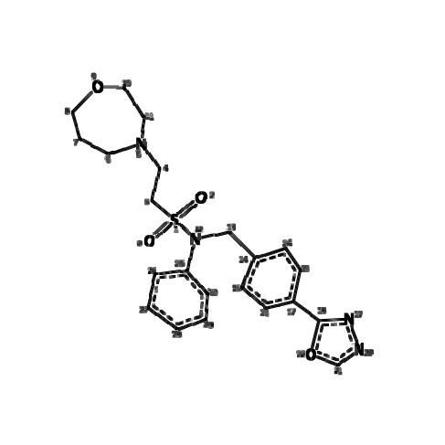 O=S(=O)(CCN1CCCOCC1)N(Cc1ccc(-c2nnco2)cc1)c1ccccc1